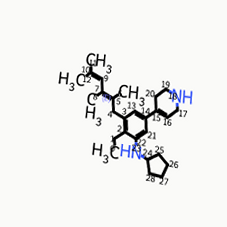 CCc1c(C/C(C)=C(\C)C=C(C)C)cc(C2=CCNCC2)cc1NC1CCCC1